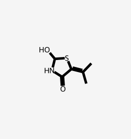 CC(C)=C1SC(O)NC1=O